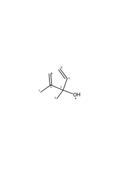 C=CC(C)(O)C(=C)C